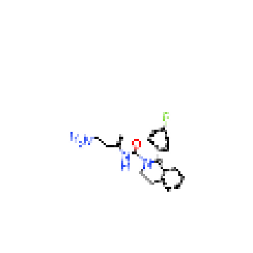 C=C(CCN)NC(=O)N1CCc2ccccc2[C@H]1c1ccc(F)cc1